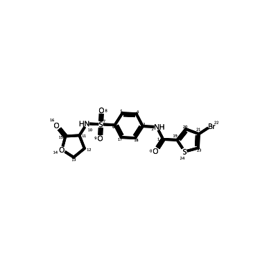 O=C(Nc1ccc(S(=O)(=O)NC2CCOC2=O)cc1)c1cc(Br)cs1